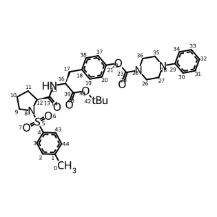 Cc1ccc(S(=O)(=O)N2CCC[C@H]2C(=O)N[C@@H](Cc2ccc(OC(=O)N3CCN(c4ccccc4)CC3)cc2)C(=O)OC(C)(C)C)cc1